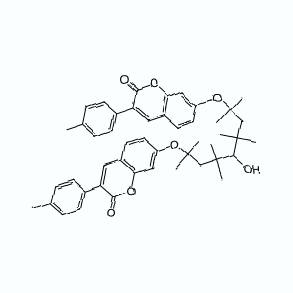 Cc1ccc(-c2cc3ccc(OC(C)(C)CC(C)(C)C(O)C(C)(C)CC(C)(C)Oc4ccc5cc(-c6ccc(C)cc6)c(=O)oc5c4)cc3oc2=O)cc1